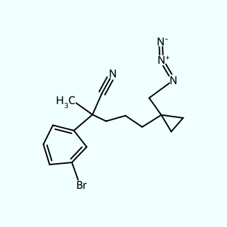 CC(C#N)(CCCC1(CN=[N+]=[N-])CC1)c1cccc(Br)c1